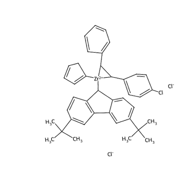 CC(C)(C)c1ccc2c(c1)-c1cc(C(C)(C)C)ccc1[CH]2[Zr+2]1([C]2=CC=CC2)[CH](c2ccccc2)[CH]1c1ccc(Cl)cc1.[Cl-].[Cl-]